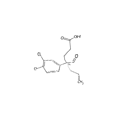 C=CC[C@@](C=O)(CCC(=O)O)c1ccc(Cl)c(Cl)c1